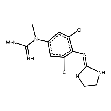 CNC(=N)N(C)c1cc(Cl)c(N=C2NCCN2)c(Cl)c1